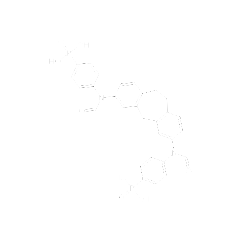 O=CN(c1ccc(P(=O)(O)O)cc1)c1ccc2c(c1)Cc1cc(N(C=O)c3ccc(P(=O)(O)O)cc3)ccc1CC2